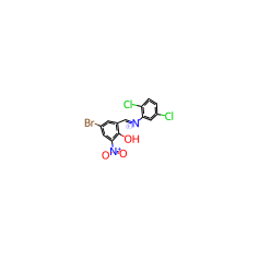 O=[N+]([O-])c1cc(Br)cc(/C=N/c2cc(Cl)ccc2Cl)c1O